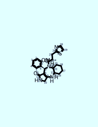 COc1ccccc1[C@@H]1C2=C(CNC2=O)N[C@@H]2CCCC[C@H]2N1C(=O)CCc1nccs1